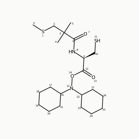 CSCC(C)(C)C(=O)N[C@@H](CS)C(=O)ON(C1CCCCC1)C1CCCCC1